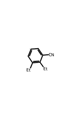 CCc1c[c]cc(C#N)c1CC